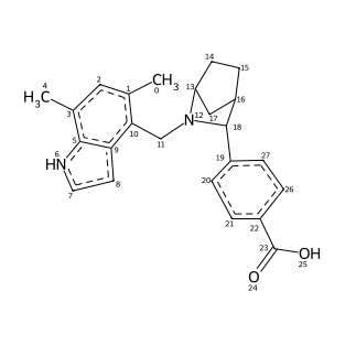 Cc1cc(C)c2[nH]ccc2c1CN1C2CCC(C2)C1c1ccc(C(=O)O)cc1